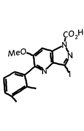 COc1cc2c(nc1-c1cccc(C)c1C)c(I)nn2C(=O)O